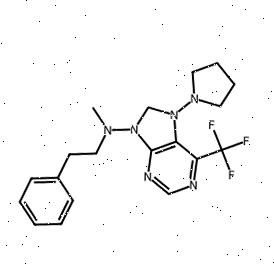 CN(CCc1ccccc1)N1CN(N2CCCC2)c2c1ncnc2C(F)(F)F